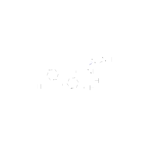 Cc1cc(F)ccc1Oc1ccc(C(C)(O)CN/C=N\C=N)c(Cl)c1